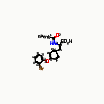 CCCCCC(=O)N/C(=C\c1ccc(Oc2ccccc2Br)cc1)C(=O)O